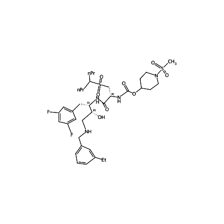 CCCC(CCC)S(=O)(=O)C[C@H](NC(=O)OC1CCN(S(C)(=O)=O)CC1)C(=O)N[C@@H](Cc1cc(F)cc(F)c1)[C@H](O)CNCc1cccc(CC)c1